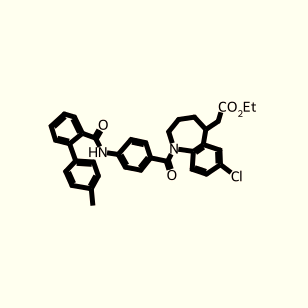 CCOC(=O)CC1CCCN(C(=O)c2ccc(NC(=O)c3ccccc3-c3ccc(C)cc3)cc2)c2ccc(Cl)cc21